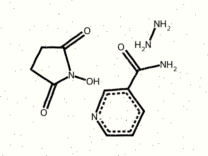 NC(=O)c1cccnc1.NN.O=C1CCC(=O)N1O